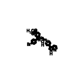 CS(=O)(=O)N1CCc2c(c(-c3ccc(Br)cc3)nn2CC(O)CN2CCC(c3c[nH]c4ncccc34)CC2)C1